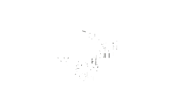 C#Cc1ccc(C(C)Oc2cc(C(=O)NCC)[nH]c2C(=O)NCCc2cnc(NC(O)c3cc(OC(C)c4ccc(Cl)cc4)c(C(=O)NC)[nH]3)[nH]2)cc1